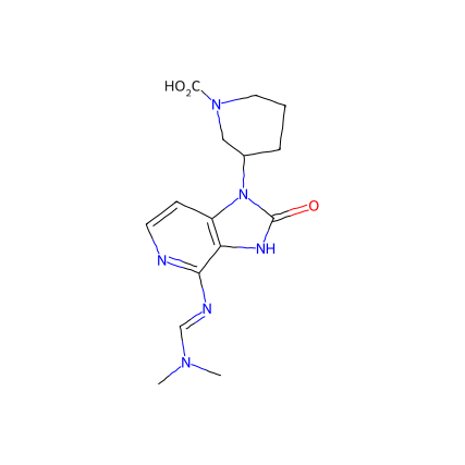 CN(C)C=Nc1nccc2c1[nH]c(=O)n2C1CCCN(C(=O)O)C1